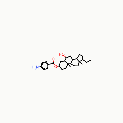 CCC1CCC2C3CC(O)C4CC(OC(=O)c5ccc(N)cc5)CCC4(C)C3CCC12C